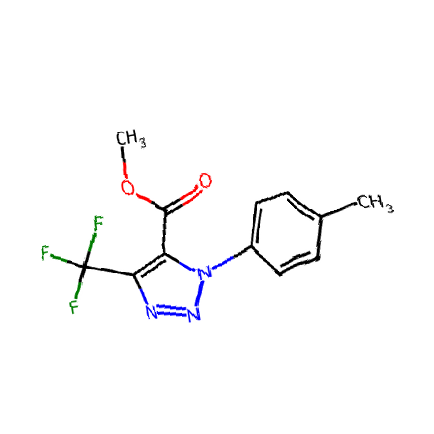 COC(=O)c1c(C(F)(F)F)nnn1-c1ccc(C)cc1